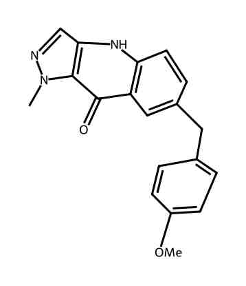 COc1ccc(Cc2ccc3[nH]c4cnn(C)c4c(=O)c3c2)cc1